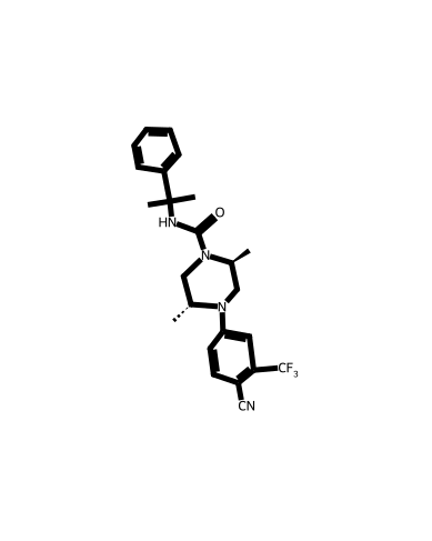 C[C@@H]1CN(C(=O)NC(C)(C)c2ccccc2)[C@@H](C)CN1c1ccc(C#N)c(C(F)(F)F)c1